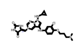 CN(C)CCCOc1ccc(NC2=CN(NC3CC3)N3N=CN(/C=C4\NC(=O)NC4=O)C=C23)cc1Cl